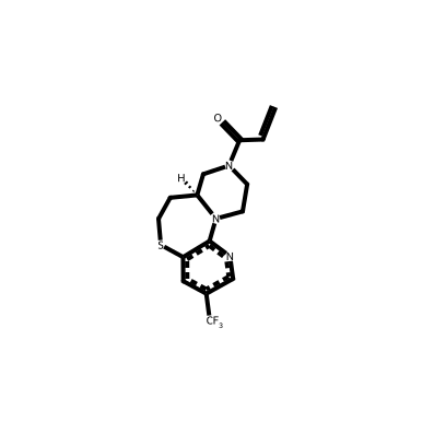 C=CC(=O)N1CCN2c3ncc(C(F)(F)F)cc3SCC[C@H]2C1